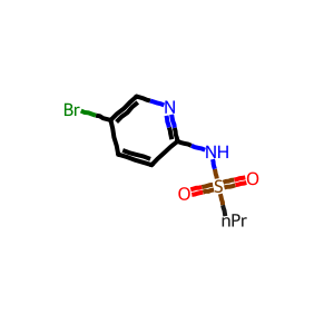 CCCS(=O)(=O)Nc1ccc(Br)cn1